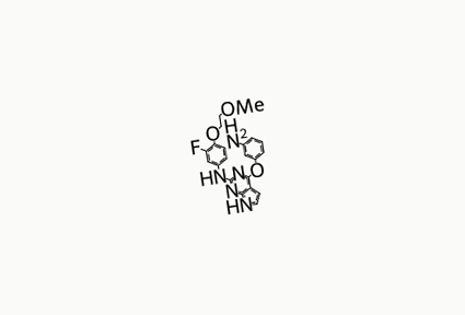 COCCOc1ccc(Nc2nc(Oc3cccc(N)c3)c3cc[nH]c3n2)cc1F